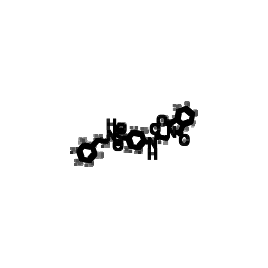 O=C(CN1C(=O)c2ccccc2C1=O)Nc1ccc(S(=O)(=O)NCCc2ccccc2)cc1